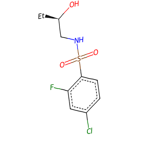 CC[C@@H](O)CNS(=O)(=O)c1ccc(Cl)cc1F